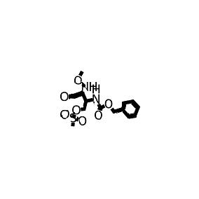 CONC(=C=O)C(COS(C)(=O)=O)NC(=O)OCc1ccccc1